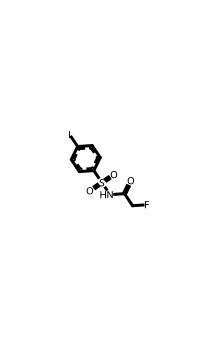 O=C(CF)NS(=O)(=O)c1ccc(I)cc1